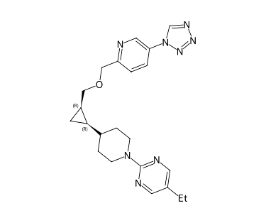 CCc1cnc(N2CCC([C@H]3C[C@H]3COCc3ccc(-n4cnnn4)cn3)CC2)nc1